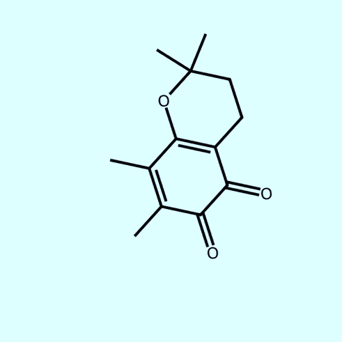 CC1=C(C)C2=C(CCC(C)(C)O2)C(=O)C1=O